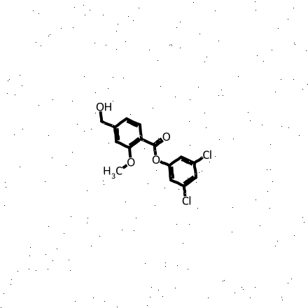 COc1cc(CO)ccc1C(=O)Oc1cc(Cl)cc(Cl)c1